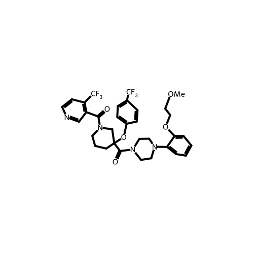 COCCOc1ccccc1N1CCN(C(=O)C2(Oc3ccc(C(F)(F)F)cc3)CCCN(C(=O)c3cnccc3C(F)(F)F)C2)CC1